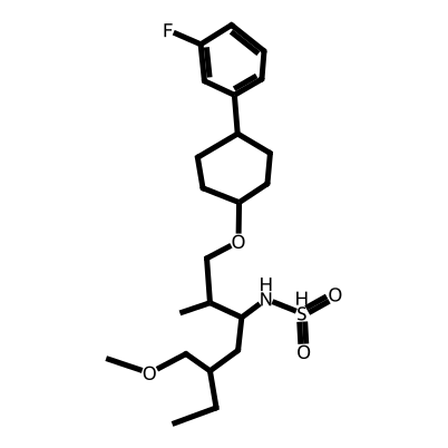 CCC(COC)CC(N[SH](=O)=O)C(C)COC1CCC(c2cccc(F)c2)CC1